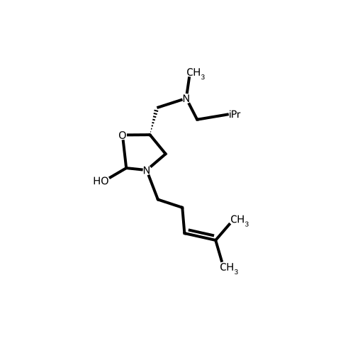 CC(C)=CCCN1C[C@@H](CN(C)CC(C)C)OC1O